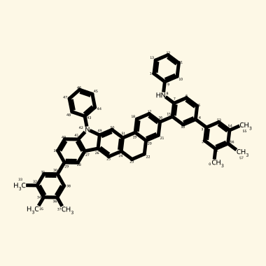 Cc1cc(-c2ccc(Nc3ccccc3)c(-c3ccc4c(c3)CCc3cc5c6cc(-c7cc(C)c(C)c(C)c7)ccc6n(-c6ccccc6)c5cc3-4)c2)cc(C)c1C